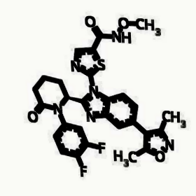 CONC(=O)c1cnc(-n2c([C@@H]3CCCC(=O)N3c3ccc(F)c(F)c3)nc3cc(-c4c(C)noc4C)ccc32)s1